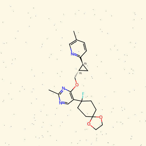 Cc1ccc([C@H]2C[C@@H]2COc2nc(C)ncc2C2(F)CCC3(CC2)OCCO3)nc1